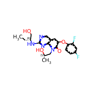 CC[C@H](CO)Nc1ncc2cc(Oc3ccc(F)cc3F)c(=O)n(C[C@H](C)O)c2n1